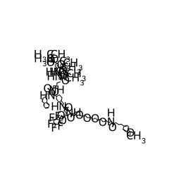 COc1ccc(CCCC(=O)NCCOCCOCCOCCOCCC(=O)NC(CC(=O)NCC2CCC(C(=O)N[C@@H](Cc3ccc4ccccc4c3)C(=O)NCCCC[C@H](NC(=O)N[C@@H](CCC(=O)OC(C)(C)C)C(=O)OC(C)(C)C)C(=O)OC(C)(C)C)CC2)CC(=O)Oc2c(F)c(F)c(F)c(F)c2F)cc1